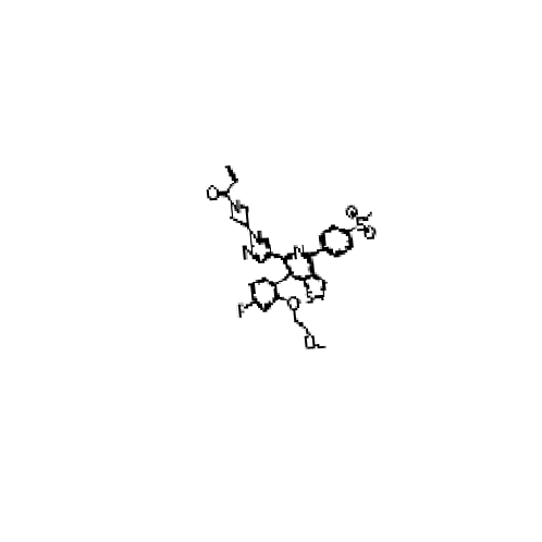 C=CC(=O)N1CC(n2cc(-c3nc(-c4ccc(S(C)(=O)=O)cc4)c4ccsc4c3-c3ccc(F)cc3OCCOC)cn2)C1